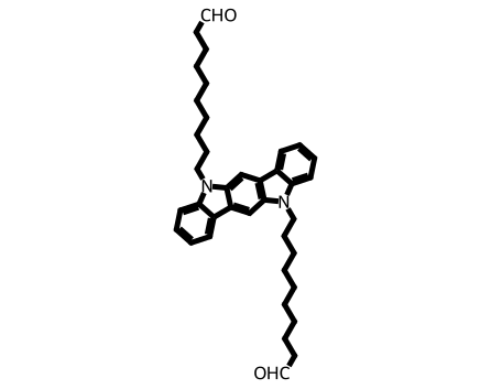 O=CCCCCCCCCCn1c2ccccc2c2cc3c(cc21)c1ccccc1n3CCCCCCCCCC=O